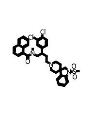 CN(CC(CCN1CCC2(CC1)CN(S(C)(=O)=O)c1ccccc12)c1ccc(Cl)c(Cl)c1)C(=O)c1cccc2ccccc12